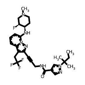 CCC(C)(C)n1cc(C(=O)NCC#Cc2nn3c(N[C@@H]4CCN(C)C[C@@H]4F)cccc3c2CC(F)(F)F)cn1